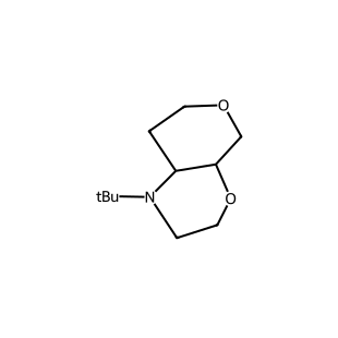 CC(C)(C)N1CCOC2COCCC21